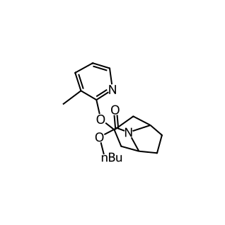 CCCCOC(=O)N1C2CCC1CC(Oc1ncccc1C)C2